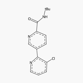 CC(C)(C)NC(=O)c1ccc(-c2ncccc2Cl)cn1